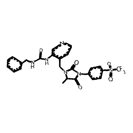 CC1C(=O)N(c2ccc(S(=O)(=O)C(F)(F)F)cc2)C(=O)N1Cc1ccncc1NC(=O)NCc1ccccc1